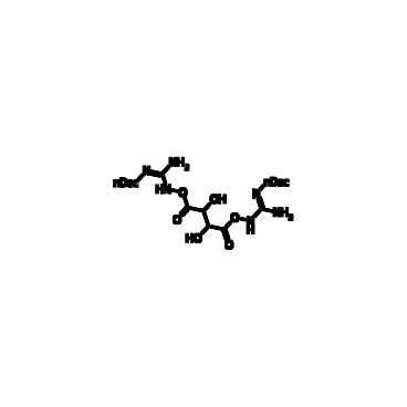 CCCCCCCCCCN=C(N)NOC(=O)C(O)C(O)C(=O)ONC(N)=NCCCCCCCCCC